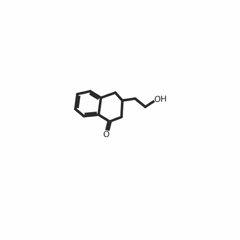 O=C1CC(CCO)Cc2ccccc21